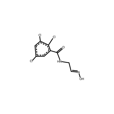 O=C(NCC=NO)c1cc(Cl)cc(Cl)c1Cl